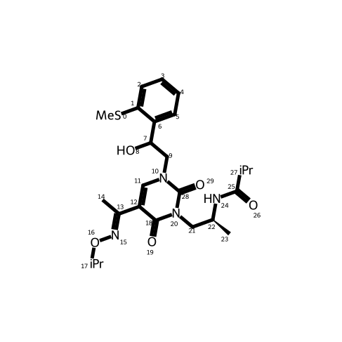 CSc1ccccc1C(O)Cn1cc(/C(C)=N/OC(C)C)c(=O)n(C[C@H](C)NC(=O)C(C)C)c1=O